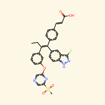 CCC(=C(c1ccc(C=CC(=O)O)cc1)c1ccc2[nH]nc(F)c2c1)c1cccc(Oc2cncc(S(C)(=O)=O)n2)c1